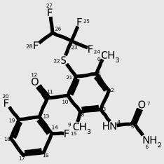 Cc1cc(NC(N)=O)c(C)c(C(=O)c2c(F)cccc2F)c1SC(F)(F)C(F)F